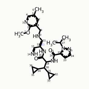 COc1ncc(C)cc1CN/C=C(\C=N)NC(=O)C(NC(=O)c1ccnn1C(C)C)C(C1CC1)C1CC1